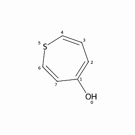 OC1=CC=CSC=C1